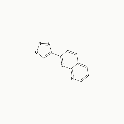 c1cnc2nc(-c3conn3)ccc2c1